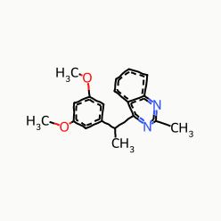 COc1cc(OC)cc(C(C)c2nc(C)nc3ccccc23)c1